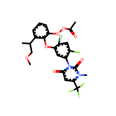 COCC(C)c1cccc(OOC(C)=O)c1Oc1cc(-n2c(=O)cc(C(F)(F)F)n(C)c2=O)c(F)cc1Cl